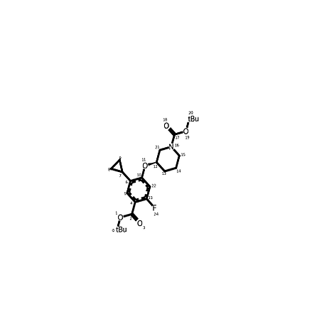 CC(C)(C)OC(=O)c1cc(C2CC2)c(O[C@@H]2CCCN(C(=O)OC(C)(C)C)C2)cc1F